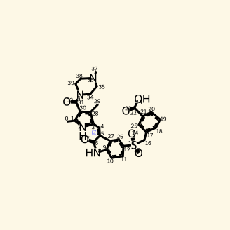 Cc1[nH]c(/C=C2\C(=O)Nc3ccc(S(=O)(=O)Cc4cccc(C(=O)O)c4)cc32)c(C)c1C(=O)N1CCN(C)CC1